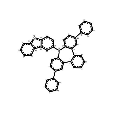 c1ccc(-c2ccc3c(c2)-c2ccccc2-c2cc(-c4ccccc4)ccc2B3c2ccc3oc4ccccc4c3c2)cc1